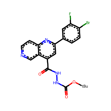 CC(C)(C)OC(=O)NNC(=O)c1cc(-c2ccc(Br)c(F)c2)nc2ccncc12